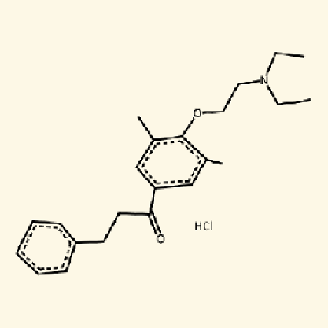 CCN(CC)CCOc1c(C)cc(C(=O)CCc2ccccc2)cc1C.Cl